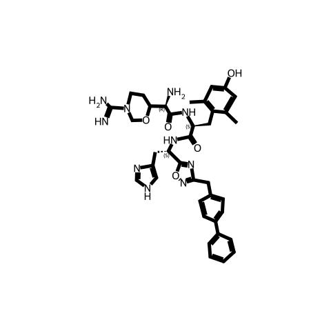 Cc1cc(O)cc(C)c1C[C@H](NC(=O)[C@H](N)C1CCN(C(=N)N)CO1)C(=O)N[C@@H](Cc1c[nH]cn1)c1nc(Cc2ccc(-c3ccccc3)cc2)no1